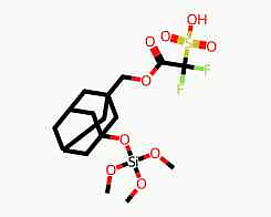 CO[Si](OC)(OC)OC12CC3CC(CC(COC(=O)C(F)(F)S(=O)(=O)O)(C3)C1)C2